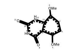 COc1ccc(OC)c2c(=O)[nH]c(=O)[nH]c12